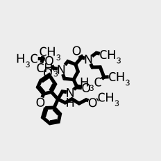 CCN(CCC(C)C)C(=O)C1CC(C(=O)NCC2(CCCCOC)c3ccccc3Oc3ccccc32)CN(C(=O)OC(C)(C)C)C1